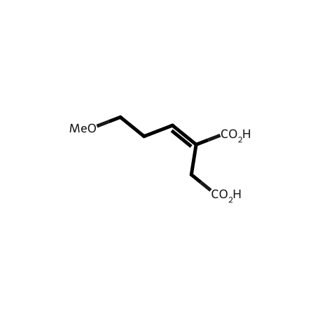 COCCC=C(CC(=O)O)C(=O)O